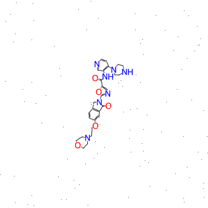 O=C(Nc1cnccc1N1CCNCC1)c1cnc(N2Cc3ccc(OCCN4CCOCC4)cc3C2=O)o1